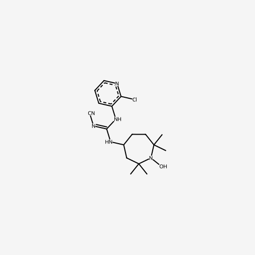 CC1(C)CCC(NC(=NC#N)Nc2cccnc2Cl)CC(C)(C)N1O